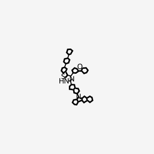 c1ccc(-c2ccc(-c3ccc4sc5c(c4c3)C(c3ccc4oc6ccccc6c4c3)=NC(c3ccc4cc(-n6c7ccccc7c7cc8ccccc8cc76)ccc4c3)N5)cc2)cc1